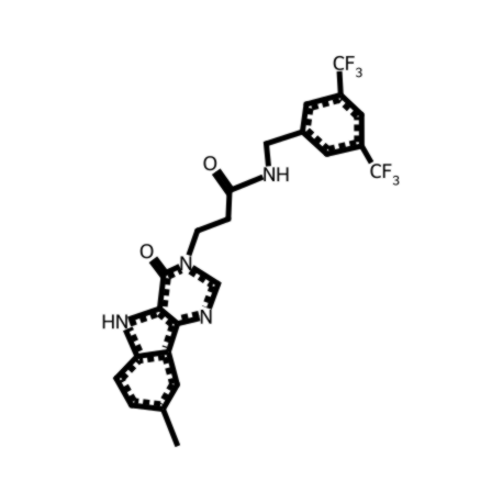 Cc1ccc2[nH]c3c(=O)n(CCC(=O)NCc4cc(C(F)(F)F)cc(C(F)(F)F)c4)cnc3c2c1